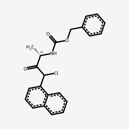 C[C@H](NC(=O)OCc1ccccc1)C(=O)C(Cl)c1cccc2ccccc12